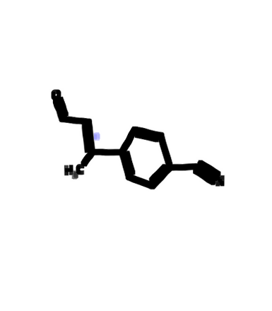 C/C(=C\C=O)c1ccc(C#N)cc1